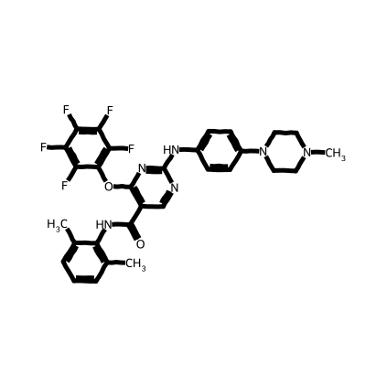 Cc1cccc(C)c1NC(=O)c1cnc(Nc2ccc(N3CCN(C)CC3)cc2)nc1Oc1c(F)c(F)c(F)c(F)c1F